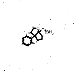 BOC12CCCC1(c1ccccc1)CCO2